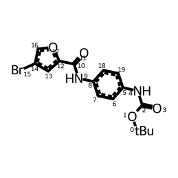 CC(C)(C)OC(=O)Nc1ccc(NC(=O)c2cc(Br)co2)cc1